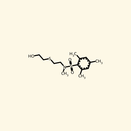 Cc1cc(C)c(S(=O)(=O)N(C)CCSCCO)c(C)c1